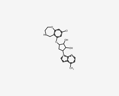 Cc1ccnc2c1ccn2C1CC(Oc2cc(Cl)cc3c2CNCCO3)C(O)C1O